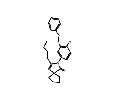 CCCCC1=NC2(CCCC2)C(=O)N1c1ccc(Br)c(OCc2ccccc2)c1